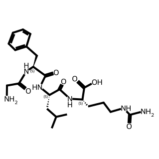 CC(C)C[C@H](NC(=O)[C@H](Cc1ccccc1)NC(=O)CN)C(=O)N[C@@H](CCCNC(N)=O)C(=O)O